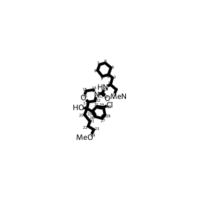 CNCC(CC1CCCCC1)NC(=O)N1CCOC(C(O)(CCCCOC)c2cccc(Cl)c2)C1